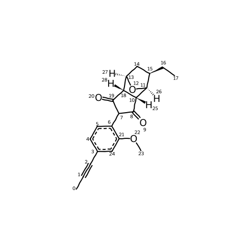 CC#Cc1ccc(C2C(=O)[C@H]3[C@H]4O[C@H](C[C@H]4CC)[C@H]3C2=O)c(OC)c1